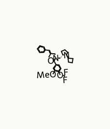 COc1cc(C(=O)N(C/C(C)=C/c2ccccc2)C[C@@H]2CCCN2C2CCC2)ccc1OC(F)F